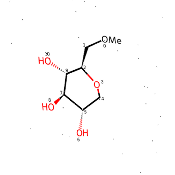 COC[C@H]1O[CH][C@H](O)[C@@H](O)[C@@H]1O